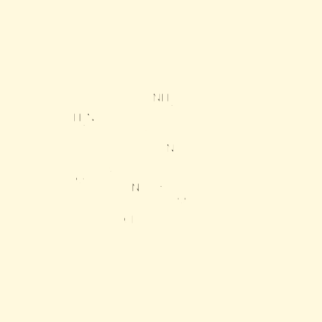 Cn1c(=O)c(N)c(N)n(C2CCCC2)c1=O